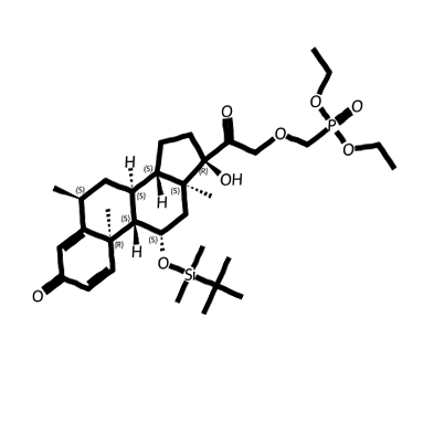 CCOP(=O)(COCC(=O)[C@@]1(O)CC[C@H]2[C@@H]3C[C@H](C)C4=CC(=O)C=C[C@]4(C)[C@H]3[C@@H](O[Si](C)(C)C(C)(C)C)C[C@@]21C)OCC